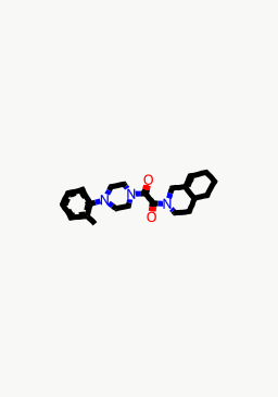 Cc1ccccc1N1CCN(C(=O)C(=O)N2CCC3CCCC=C3C2)CC1